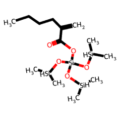 C=C(CCCC)C(=O)O[Si](O[SiH](C)C)(O[SiH](C)C)O[SiH](C)C